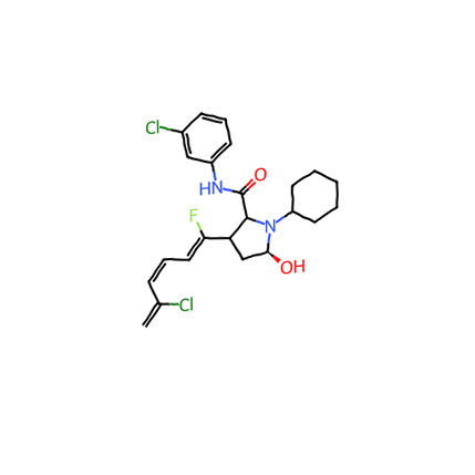 C=C(Cl)/C=C\C=C(/F)C1C[C@H](O)N(C2CCCCC2)C1C(=O)Nc1cccc(Cl)c1